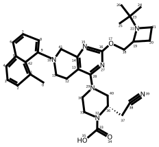 Cc1cccc2cccc(N3CCc4c(nc(OCC5CCN5C(C)(C)C)nc4N4CCN(C(=O)O)[C@@H](CC#N)C4)C3)c12